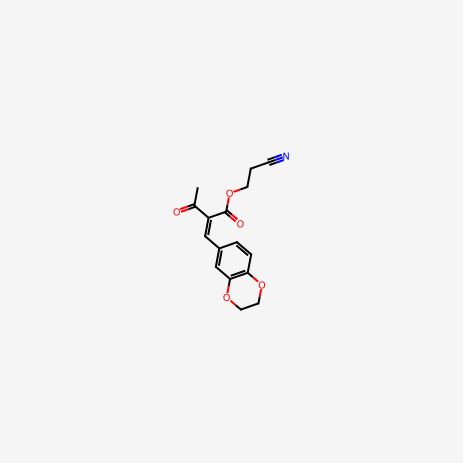 CC(=O)/C(=C/c1ccc2c(c1)OCCO2)C(=O)OCCC#N